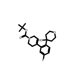 CC(C)(C)OC(=O)N1CC=C(c2cc(F)ccc2C2(O)CCOCC2)CC1